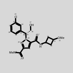 CNC(=O)c1cc(C(=O)NC2CC(OC)C2)n([C@@H](CO)c2cccc(Cl)c2)n1